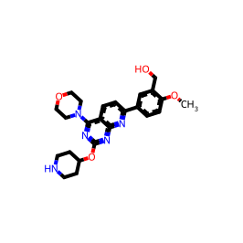 COc1ccc(-c2ccc3c(N4CCOCC4)nc(OC4CCNCC4)nc3n2)cc1CO